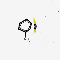 O=[N+]([O-])c1ccccc1.S=C=S